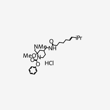 CNCC1(OC)CC(CNC(=O)CCCC/C=C/C(C)C)CCN1C(=O)Oc1ccccc1.Cl